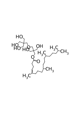 CC(=CCCC(=O)OCC(CO)(CO)COCC(CO)(CO)CO)CCCC(C)CCCC(C)CCCC(C)C